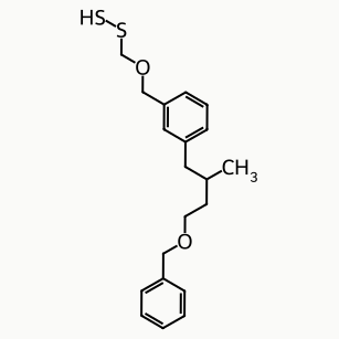 CC(CCOCc1ccccc1)Cc1cccc(COCSS)c1